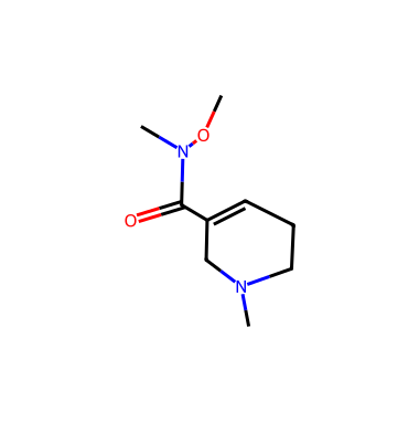 CON(C)C(=O)C1=CCCN(C)C1